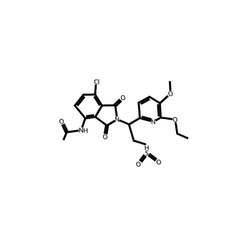 CCOc1nc(C(CC[SH](=O)=O)N2C(=O)c3c(Cl)ccc(NC(C)=O)c3C2=O)ccc1OC